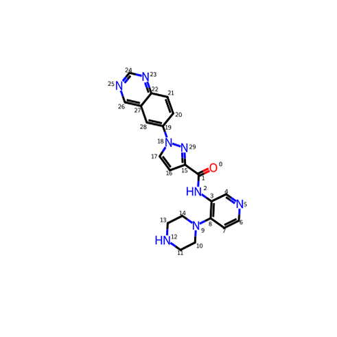 O=C(Nc1cnccc1N1CCNCC1)c1ccn(-c2ccc3ncncc3c2)n1